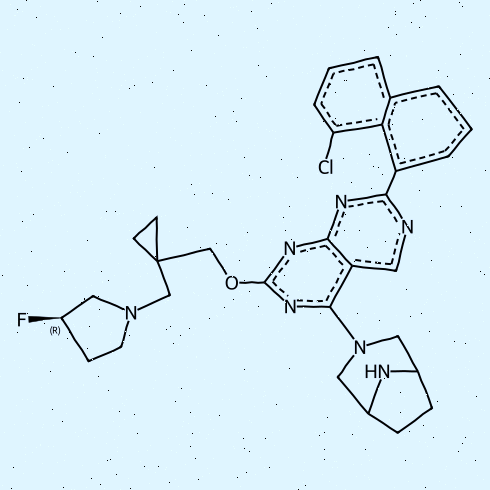 F[C@@H]1CCN(CC2(COc3nc(N4CC5CCC(C4)N5)c4cnc(-c5cccc6cccc(Cl)c56)nc4n3)CC2)C1